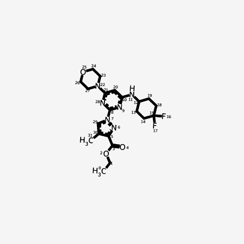 CCOC(=O)c1nn(-c2nc(NC3CCC(F)(F)CC3)cc(N3CCOCC3)n2)cc1C